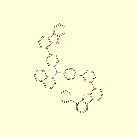 c1ccc(-c2cccc3c2sc2c(-c4cccc(-c5ccc(N(c6ccc(-c7cccc8c7oc7ccccc78)cc6)c6cccc7ccccc67)cc5)c4)cccc23)cc1